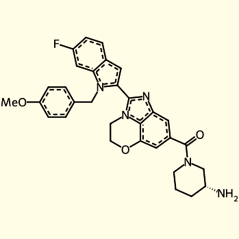 COc1ccc(Cn2c(-c3nc4cc(C(=O)N5CCC[C@@H](N)C5)cc5c4n3CCO5)cc3ccc(F)cc32)cc1